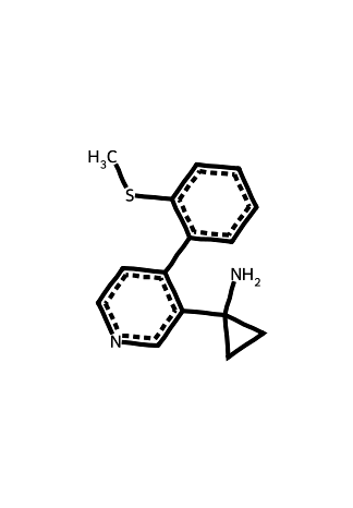 CSc1ccccc1-c1ccncc1C1(N)CC1